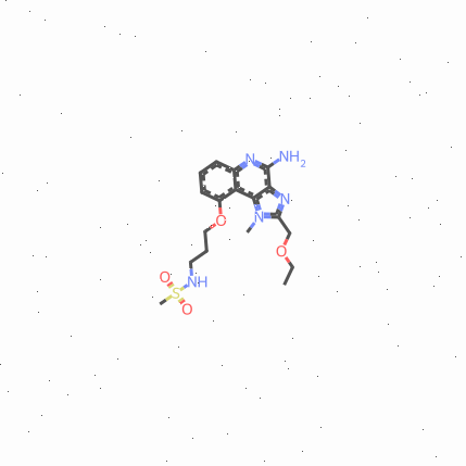 CCOCc1nc2c(N)nc3cccc(OCCCNS(C)(=O)=O)c3c2n1C